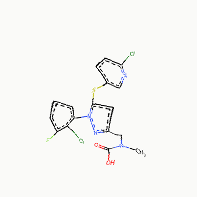 CN(Cc1cc(Sc2ccc(Cl)nc2)n(-c2cccc(F)c2Cl)n1)C(=O)O